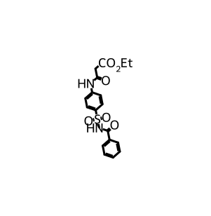 CCOC(=O)CC(=O)Nc1ccc(S(=O)(=O)NC(=O)c2ccccc2)cc1